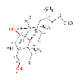 C[C@H](CC[C]=O)[C@H]1CC[C@H]2[C@@H]3[C@H](O)C[C@@H]4C[C@H](O)CC[C@]4(C)[C@H]3CC[C@]12C